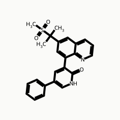 CC(C)(c1cc(-c2cc(-c3ccccc3)c[nH]c2=O)c2ncccc2c1)S(C)(=O)=O